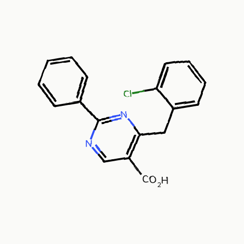 O=C(O)c1cnc(-c2ccccc2)nc1Cc1ccccc1Cl